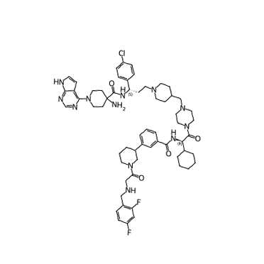 NC1(C(=O)N[C@@H](CCN2CCC(CN3CCN(C(=O)[C@H](NC(=O)c4cccc(C5CCCN(C(=O)CNCc6ccc(F)cc6F)C5)c4)C4CCCCC4)CC3)CC2)c2ccc(Cl)cc2)CCN(c2ncnc3[nH]ccc23)CC1